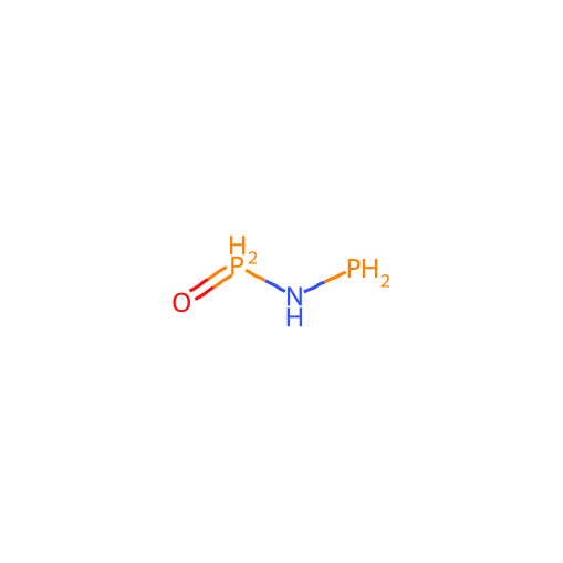 O=[PH2]NP